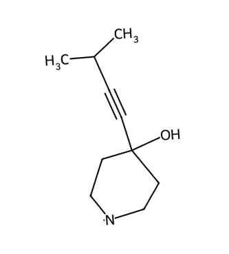 CC(C)C#CC1(O)CC[N]CC1